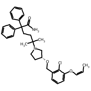 C/C=C\Oc1cccc(CO[C@@H]2CCN(C(C)(C)CCC(C(N)=O)(c3ccccc3)c3ccccc3)C2)c1Cl